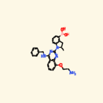 CC1Cc2c(B(O)O)cccc2N1c1nc(NCc2ccccc2)c2cccc(OCCN)c2n1